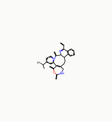 C=CC1=NC2C(=C)[n+]3ccc(C(C)C(C)C)cc3C3=C(CCC2c2ccccc21)CNC(=C)OC3=C